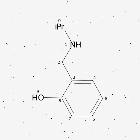 CC(C)NCc1ccccc1O